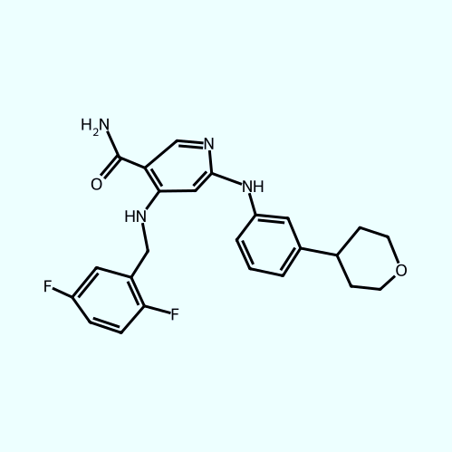 NC(=O)c1cnc(Nc2cccc(C3CCOCC3)c2)cc1NCc1cc(F)ccc1F